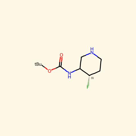 CC(C)(C)OC(=O)NC1CNCC[C@@H]1F